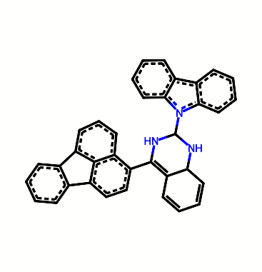 C1=CC2=C(c3ccc4c5c(cccc35)-c3ccccc3-4)NC(n3c4ccccc4c4ccccc43)NC2C=C1